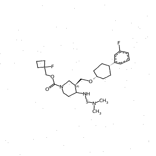 CN(C)SNC1CCN(C(=O)OCC2(F)CCC2)C[C@H]1CO[C@H]1CC[C@@H](c2cccc(F)c2)CC1